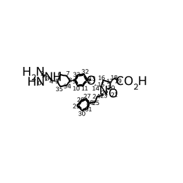 N=C(N)NC[C@H]1CC[C@@H](c2ccc(OC[C@@H]3C[C@@H](CC(=O)O)C(=O)N3CCCc3ccccc3)cc2)CC1